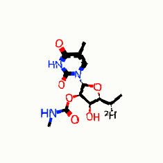 [2H][C@@H](C)[C@H]1O[C@@H](n2cc(C)c(=O)[nH]c2=O)[C@H](OC(=O)NC)[C@@H]1O